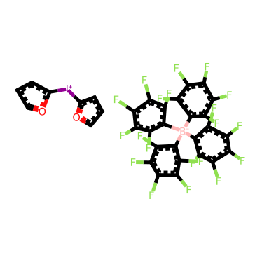 Fc1c(F)c(F)c([B-](c2c(F)c(F)c(F)c(F)c2F)(c2c(F)c(F)c(F)c(F)c2F)c2c(F)c(F)c(F)c(F)c2F)c(F)c1F.c1coc([I+]c2ccco2)c1